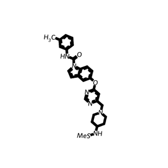 CSNC1CCN(Cc2cc(Oc3ccc4c(ccn4C(=O)Nc4cccc(C)c4)c3)ncn2)CC1